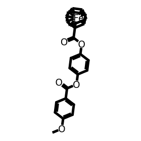 COc1ccc(C(=O)Oc2ccc(OC(=O)[C]34[CH]5[CH]6[CH]7[CH]3[Fe]6754389%10[CH]4[CH]3[CH]8[CH]9[CH]4%10)cc2)cc1